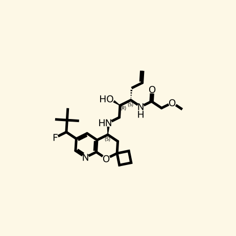 C=CC[C@H](NC(=O)COC)[C@H](O)CN[C@H]1CC2(CCC2)Oc2ncc(C(F)C(C)(C)C)cc21